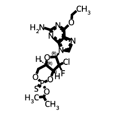 CCOc1nc(N)nc2c1ncn2[C@@H]1O[C@@H]2COP(=S)(OC(C)C)O[C@H]2[C@@]1(F)Cl